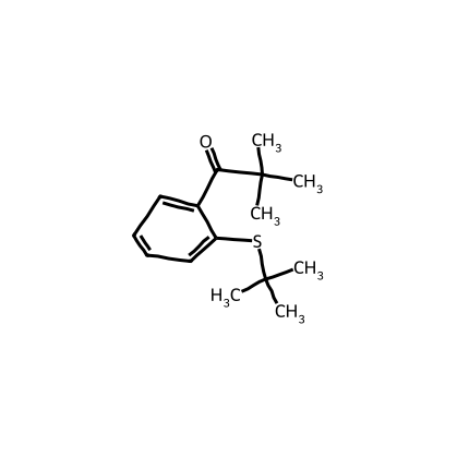 CC(C)(C)Sc1ccccc1C(=O)C(C)(C)C